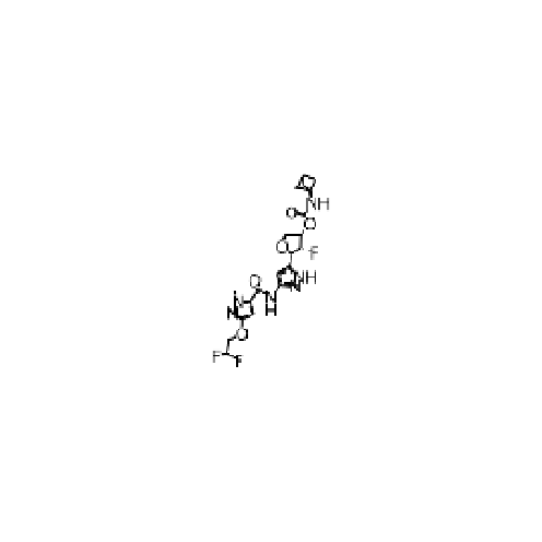 Cn1nc(OCC(F)F)cc1C(=O)Nc1cc([C@H]2OC[C@@H](OC(=O)NC34CC(C3)C4)[C@@H]2F)[nH]n1